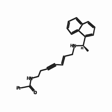 CC(C)C(=O)NCCC#CC=CCN[C@H](C)c1cccc2ccccc12